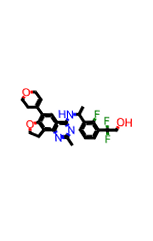 Cc1nc(NC(C)c2cccc(C(F)(F)CO)c2F)c2cc(C3=CCOCC3)c3c(c2n1)CCO3